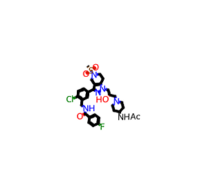 CC(=O)NC1CCN(CC(O)Cn2nc(-c3ccc(Cl)c(CNC(=O)c4ccc(F)cc4)c3)c3c2CCN(S(C)(=O)=O)C3)CC1